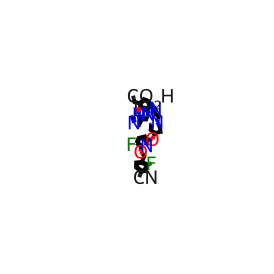 CCn1cncc1Cn1c(CN2CCC(Oc3ccc(F)c(OCc4ccc(C#N)cc4F)n3)CC2)nc2ccc(CC(=O)O)cc21